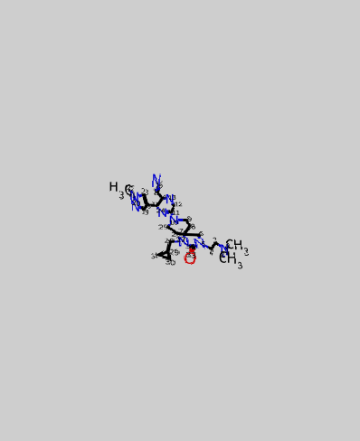 CN(C)CCN1CC2(CCN(c3cnc(C#N)c(-c4cnn(C)c4)n3)CC2)N(CC2CC2)C1=O